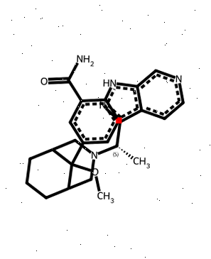 COC1(c2cccc(C(N)=O)c2)C2CCCC1CN([C@@H](C)c1n[nH]c3cnccc13)C2